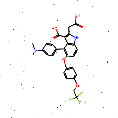 CN(C)c1ccc(-c2c(Oc3ccc(OCC(F)(F)F)cc3)ccc3[nH]c(CC(=O)O)c(C(=O)O)c23)cc1